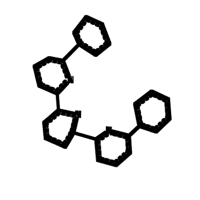 c1ccc(-c2cccc(-c3cccc(-c4cccc(-c5ccccc5)n4)n3)n2)cc1